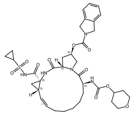 O=C(N[C@H]1CCCCC/C=C\[C@@H]2C[C@@]2(C(=O)NS(=O)(=O)C2CC2)NC(=O)[C@@H]2C[C@@H](OC(=O)N3Cc4ccccc4C3)CN2C1=O)OC1CCOCC1